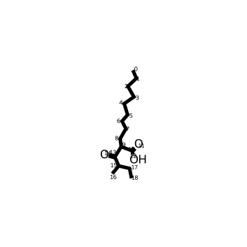 CCCCCCCCCC(C(=O)O)C(=O)C(C)CC